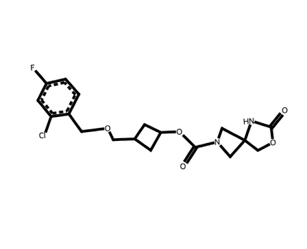 O=C1NC2(CO1)CN(C(=O)OC1CC(COCc3ccc(F)cc3Cl)C1)C2